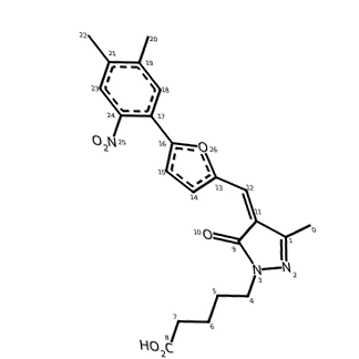 CC1=NN(CCCCC(=O)O)C(=O)/C1=C\c1ccc(-c2cc(C)c(C)cc2[N+](=O)[O-])o1